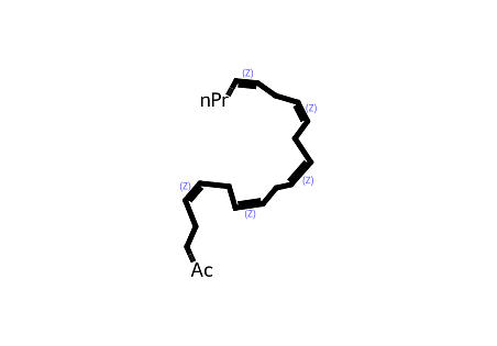 CCC/C=C\C/C=C\C/C=C\C/C=C\C/C=C\CCC(C)=O